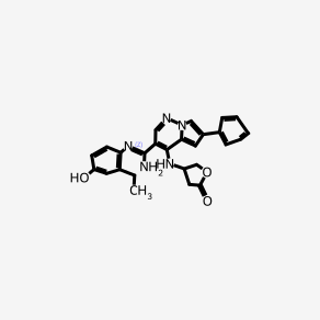 CCc1cc(O)ccc1/N=C(\N)c1cnn2cc(-c3ccccc3)cc2c1NC1COC(=O)C1